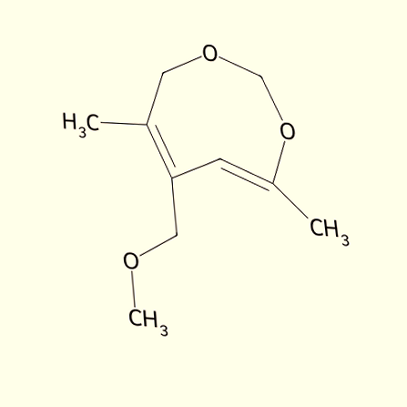 COCC1=C(\C)COCO\C(C)=C\1